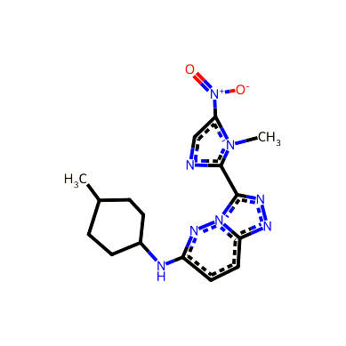 CC1CCC(Nc2ccc3nnc(-c4ncc([N+](=O)[O-])n4C)n3n2)CC1